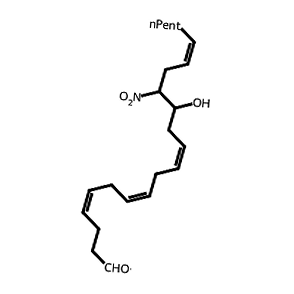 CCCCC/C=C\CC(C(O)C/C=C\C/C=C\C/C=C\CC[C]=O)[N+](=O)[O-]